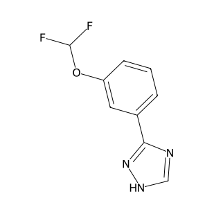 FC(F)Oc1cccc(-c2nc[nH]n2)c1